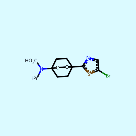 CC(C)N(C(=O)O)C12CCC(c3ncc(Br)s3)(CC1)CC2